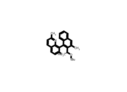 Cc1ccc2ccc(F)c(-c3c([C@H](OC(C)(C)C)C(=O)O)c(C)cc4ccccc34)c2n1